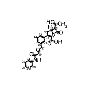 C[C@@H](O)[C@H]1C(=O)N2C(C(=O)O)=C(c3cccc(COCC(=O)Nc4cccnc4)c3)C[C@H]12